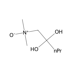 CCCC(O)(O)C[N+](C)(C)[O-]